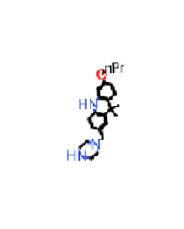 CCCOc1ccc2c(c1)Nc1ccc(CN3CCNCC3)cc1C2(C)C